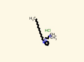 CCCCCCCCCCCCCCCc1nc2ccccc2n1CCCN(C)C.Cl